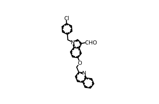 O=Cc1cn(Cc2ccc(Cl)cc2)c2ccc(OCc3ccc4ccccc4n3)cc12